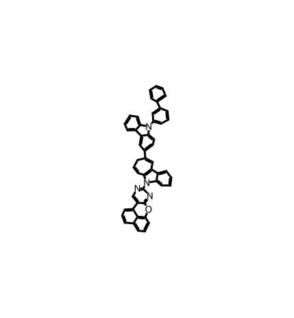 C1=Cc2c(c3ccccc3n2-c2ncc3c(n2)Oc2cccc4cccc-3c24)C=C(c2ccc3c(c2)c2ccccc2n3-c2cccc(-c3ccccc3)c2)C1